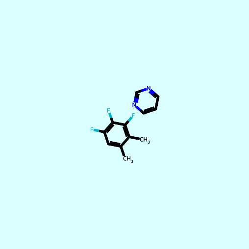 Cc1cc(F)c(F)c(F)c1C.c1cncnc1